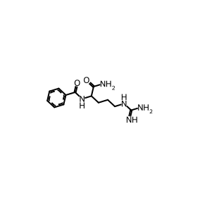 N=C(N)NCCCC(NC(=O)c1ccccc1)C(N)=O